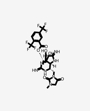 CN1CC(=O)N(C[C@@H]2NC(=N)N3C[C@H](OC(=O)c4cc(C(F)(F)F)ccc4C(F)(F)F)C(O)(O)[C@@]34NC(=N)N[C@@H]24)C1=O